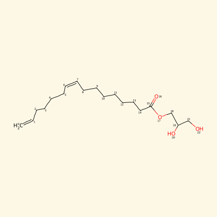 C=CCCCC/C=C\CCCCCCCC(=O)OCC(O)CO